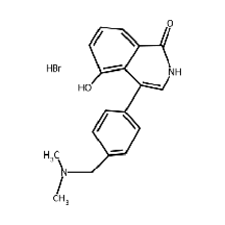 Br.CN(C)Cc1ccc(-c2c[nH]c(=O)c3cccc(O)c23)cc1